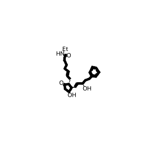 CCNC(=O)CCCC=CC[C@H]1C(=O)C[C@@H](O)[C@@H]1C=C[C@@H](O)CCc1ccccc1